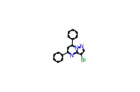 Brc1cnn2c(-c3ccccc3)cc(-c3ccccc3)nc12